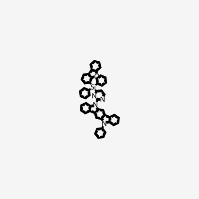 c1ccc(-n2c3ccccc3c3cc4c(cc32)c2ccccc2n4-c2nccc([Si](c3ccccc3)(c3ccccc3)c3cccc4c3oc3ccccc34)n2)cc1